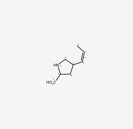 C/C=C\C1CNC(C(=O)O)C1